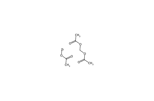 CC(=O)OCOC(C)=O.CC(=O)[O][Zr]